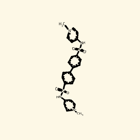 C[n+]1ccc(NS(=O)(=O)c2ccc(-c3ccc(S(=O)(=O)Nc4cc[n+](C)cc4)cc3)cc2)cc1